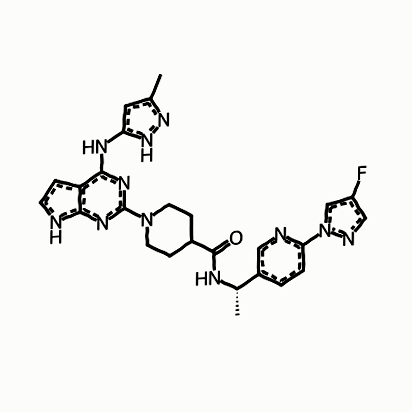 Cc1cc(Nc2nc(N3CCC(C(=O)N[C@@H](C)c4ccc(-n5cc(F)cn5)nc4)CC3)nc3[nH]ccc23)[nH]n1